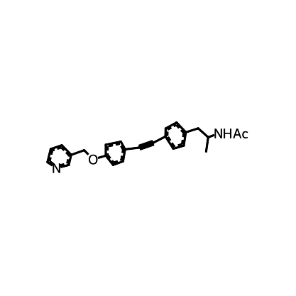 CC(=O)NC(C)Cc1ccc(C#Cc2ccc(OCc3cccnc3)cc2)cc1